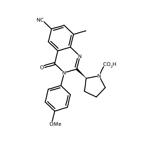 COc1ccc(-n2c([C@@H]3CCCN3C(=O)O)nc3c(C)cc(C#N)cc3c2=O)cc1